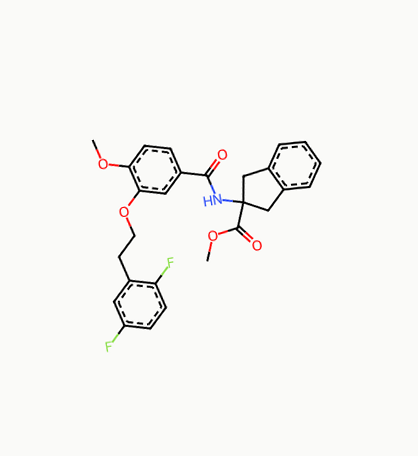 COC(=O)C1(NC(=O)c2ccc(OC)c(OCCc3cc(F)ccc3F)c2)Cc2ccccc2C1